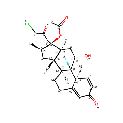 CC(=O)O[C@]1(C(=O)CCl)[C@H](C)C[C@H]2[C@@H]3CCC4=CC(=O)C=C[C@]4(C)[C@@]3(F)[C@@H](O)C[C@@]21C